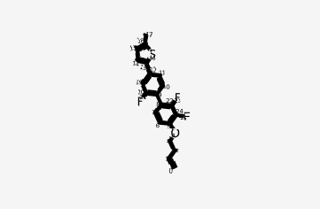 C=CCCOc1ccc(-c2ccc(-c3ccc(C)s3)cc2F)c(F)c1F